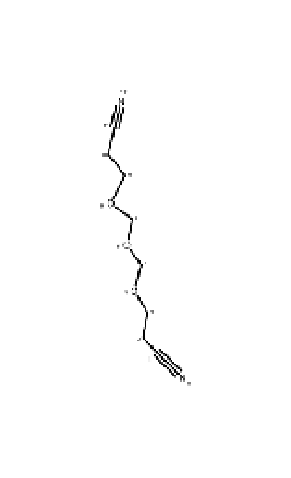 N#CCCOCOCOCCC#N